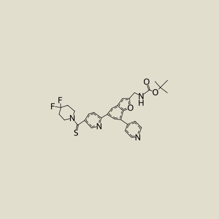 CC(C)(C)OC(=O)NCc1cc2cc(-c3ccc(C(=S)N4CCC(F)(F)CC4)cn3)cc(-c3ccncc3)c2o1